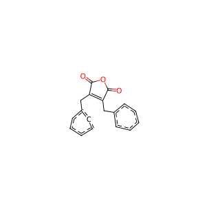 O=C1OC(=O)C(Cc2ccccc2)=C1Cc1ccccc1